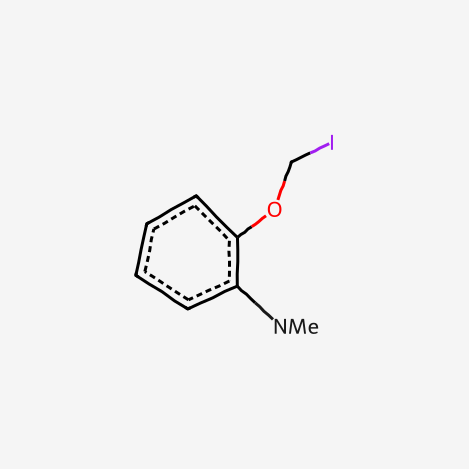 CNc1ccccc1OCI